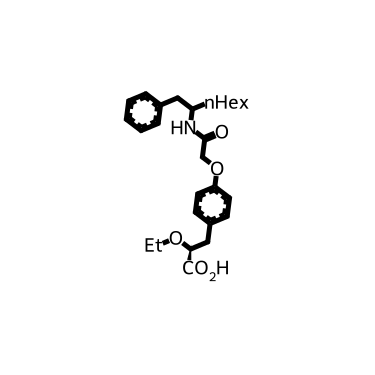 CCCCCCC(Cc1ccccc1)NC(=O)COc1ccc(C[C@H](OCC)C(=O)O)cc1